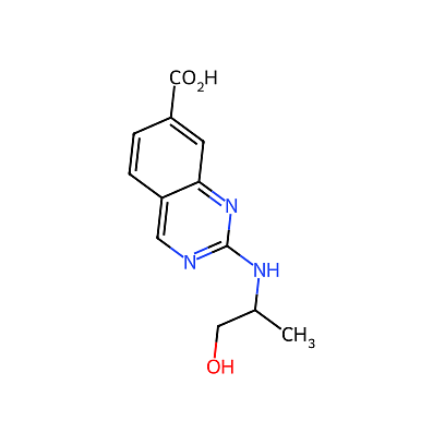 CC(CO)Nc1ncc2ccc(C(=O)O)cc2n1